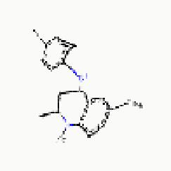 CC(=O)N1c2ccc(C#N)cc2C(Nc2ccc(C)cc2)CC1C